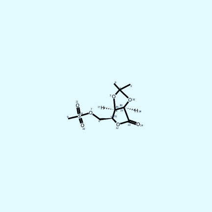 CC1(C)O[C@@H]2[C@H](COS(C)(=O)=O)OC(=O)[C@@H]2O1